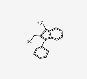 Cc1c(CC#N)n(-c2ccccc2)c2ccccc12